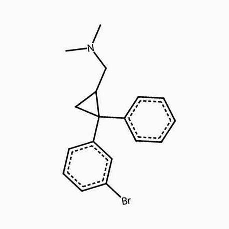 CN(C)CC1CC1(c1ccccc1)c1cccc(Br)c1